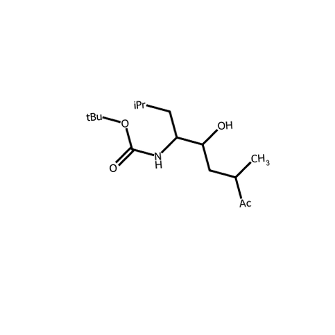 CC(=O)C(C)CC(O)C(CC(C)C)NC(=O)OC(C)(C)C